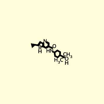 CC(C)(O)C1CCC(NC(=O)c2cnc3c(c2)BC(C2CC2)=C3)CC1